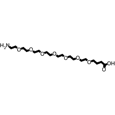 NCCOCCOCCOCCOCCOCCOCCOCCCC(=O)O